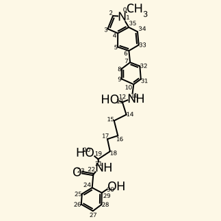 Cn1ccc2cc(-c3ccc(NC(O)CCCCCC(O)NC(=O)c4ccccc4O)cc3)ccc21